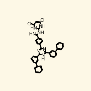 N=C(NC1NC(Cl)=CC(Cl)N1)c1ccc(C2=NC(c3cccc(-c4ccccc4)c3)NC(c3cccc(-c4ccccc4)c3)=N2)cc1